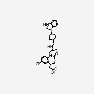 O=C(O)CC1CCC(=O)N(CC(=O)NCC2CCC(N3CNc4ccccc43)CC2)c2ccc(Cl)cc21